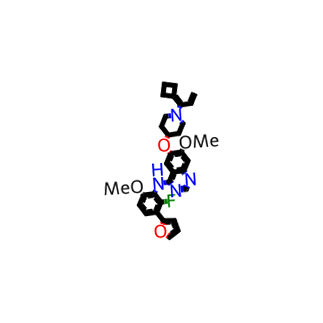 C=CC(=C1CCC1)N1CCC(Oc2cc3c(Nc4c(OC)ccc(-c5ccco5)c4F)ncnc3cc2OC)CC1